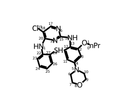 CCCOc1cc(N2CCOCC2)ccc1Nc1ncc(Cl)c(Nc2ccccc2S)n1